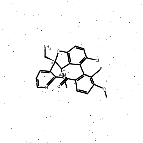 COc1ccc(C(N)=O)c(-c2c(Cl)ccc3c2[C@@H](O)[C@](CN)(c2cccnc2OC)O3)c1F